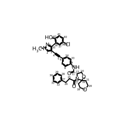 Cn1cc(C#Cc2ccc(NC(=O)[C@@H]3COC4(CCOCC4)N3C(=O)CCc3ccccc3)cc2)c(-c2cc(Cl)ccc2O)n1